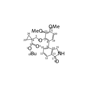 CC[C@@H](C)OC(=O)C1(COc2c(-c3cccc4c3CNC4=O)ccc(OC)c2OC)CC1